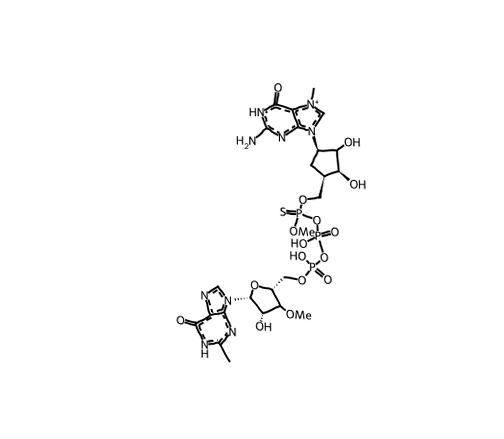 COC1[C@@H](COP(=O)(O)OP(=O)(O)OP(=S)(OC)OC[C@H]2C[C@@H](n3c[n+](C)c4c(=O)[nH]c(N)nc43)C(O)[C@H]2O)O[C@@H](n2cnc3c(=O)[nH]c(C)nc32)[C@H]1O